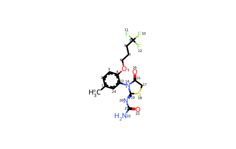 Cc1ccc(OCCCC(F)(F)F)c(N2C(=O)CSC2=NC(N)=O)c1